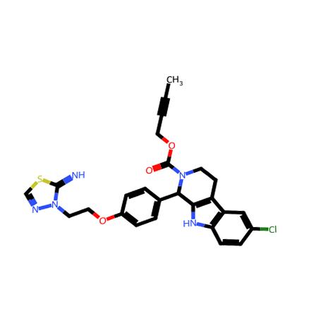 CC#CCOC(=O)N1CCc2c([nH]c3ccc(Cl)cc23)C1c1ccc(OCCn2ncsc2=N)cc1